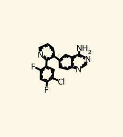 Nc1ncnc2ccc(-c3cccnc3-c3cc(Cl)c(F)cc3F)cc12